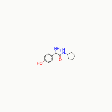 NC(C(=O)NC1CCCC1)c1ccc(O)cc1